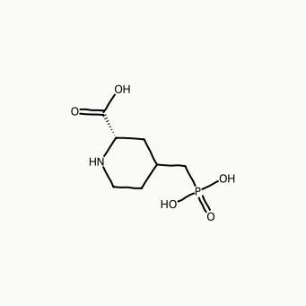 O=C(O)[C@@H]1CC(CP(=O)(O)O)CCN1